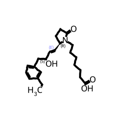 CCc1cccc(C[C@H](O)/C=C/[C@H]2CCC(=O)N2CCCCCCC(=O)O)c1